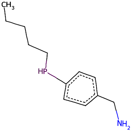 CCCCCPc1ccc(CN)cc1